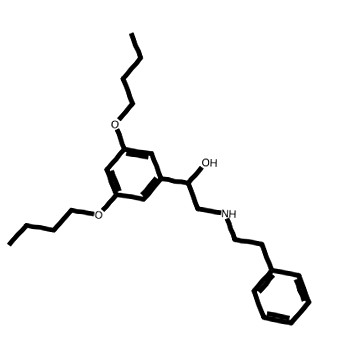 CCCCOc1cc(OCCCC)cc(C(O)CNCCc2ccccc2)c1